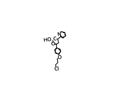 O=C(CC(C(=O)O)c1ccccn1)c1ccc(OCCCCl)cc1